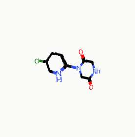 O=C1CN(C2CCC(Cl)CN2)C(=O)CN1